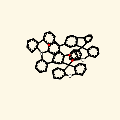 c1ccc(-c2ccccc2N(c2ccc(-c3ccc4c(c3)C3(c5ccccc5Oc5ccccc53)c3ccccc3-4)cc2)c2ccccc2-c2ccc3c(c2)C2(c4ccccc4Oc4ccccc42)c2ccccc2-3)cc1